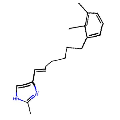 Cc1nc(C=CCCCCc2cccc(C)c2C)c[nH]1